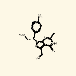 COC[C@H](c1ccc(C(F)(F)F)cc1)n1nc(CO)c2c(=O)[nH]c(C)nc21